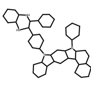 C1CCC(C2NC3CCCCC3NC2C2CCC(N3C4CCCCC4C4CC5C6C7CCCCC7CCC6N(C6CCCCC6)C5CC43)CC2)CC1